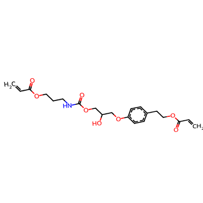 C=CC(=O)OCCCNC(=O)OCC(O)COc1ccc(CCOC(=O)C=C)cc1